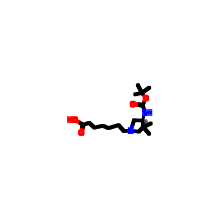 CC(C)(C)OC(=O)N[C@H]1CN(CCCCCCC(=O)O)CC1(C)C